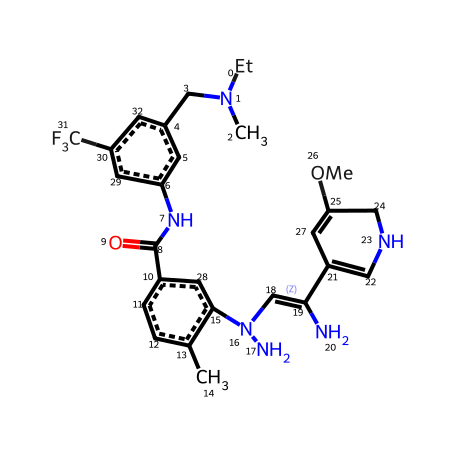 CCN(C)Cc1cc(NC(=O)c2ccc(C)c(N(N)/C=C(\N)C3=CNCC(OC)=C3)c2)cc(C(F)(F)F)c1